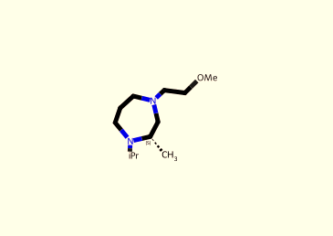 COCCN1CCCN(C(C)C)[C@@H](C)C1